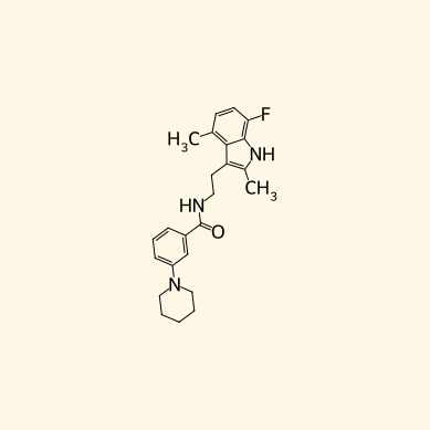 Cc1[nH]c2c(F)ccc(C)c2c1CCNC(=O)c1cccc(N2CCCCC2)c1